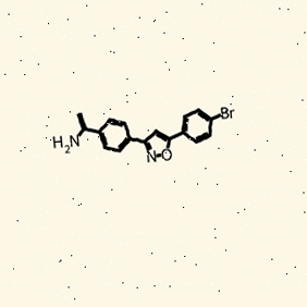 C=C(N)c1ccc(-c2cc(-c3ccc(Br)cc3)on2)cc1